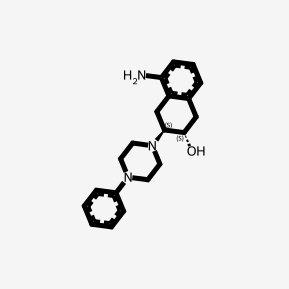 Nc1cccc2c1C[C@H](N1CCN(c3ccccc3)CC1)[C@@H](O)C2